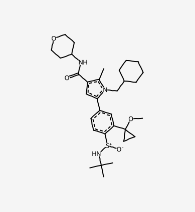 COC1(c2cc(-c3cc(C(=O)NC4CCOCC4)c(C)n3CC3CCCCC3)ccc2[S+]([O-])NC(C)(C)C)CC1